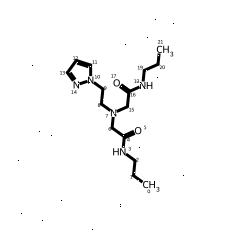 CCCNC(=O)CN(CCn1cccn1)CC(=O)NCCC